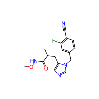 CONC(=O)C(C)Cc1cncn1Cc1ccc(C#N)c(F)c1